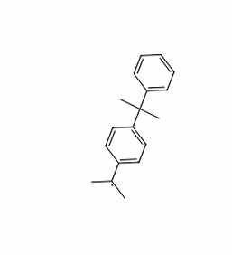 C[C](C)c1ccc(C(C)(C)c2ccccc2)cc1